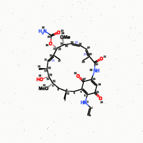 C=CNC1=C2C[C@@H](C)C[C@H](OC)[C@H](O)[C@@H](C)/C=C(\C)[C@H](OC(N)=O)[C@H](OC)/C=C\C=C(/C)C(=O)NC(=CC1=O)C2=O